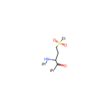 CCS(=O)(=O)CCC(NC(C)C)C(=O)C(C)C